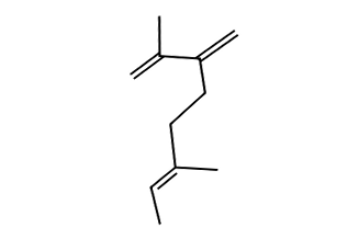 C=C(C)C(=C)CC/C(C)=C/C